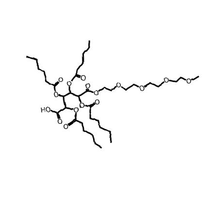 CCCCCC(=O)OC(C(=O)O)C(OC(=O)CCCCC)C(OC(=O)CCCCC)C(OC(=O)CCCCC)C(=O)OCCOCCOCCOCCOC